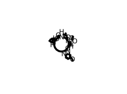 COC(=O)[C@@H]1[C@H](C)[C@@H]2CN1C(=O)[C@H](C(C)(C)C)NC(=O)O[C@H]1CC3CC(C3)[C@@H]1CCCCCc1nc3ccc(OC)cc3nc1O2